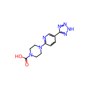 O=C(O)N1CCN(c2ccc(-c3nn[nH]n3)cn2)CC1